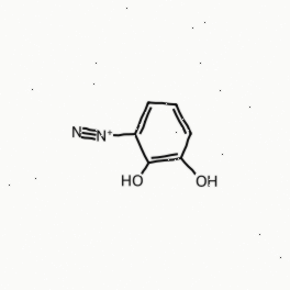 N#[N+]c1cccc(O)c1O